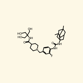 CC12CC3CC(C)(C1)CC(NC(=O)Nc1ccc(CN4CCC(C(=O)NC(CO)(CO)CO)CC4)cc1F)(C3)C2